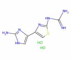 Cl.Cl.N=C(N)Nc1nc(-c2c[nH]c(N)n2)cs1